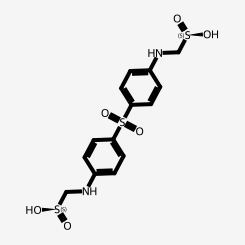 O=[S@@](O)CNc1ccc(S(=O)(=O)c2ccc(NC[S@@](=O)O)cc2)cc1